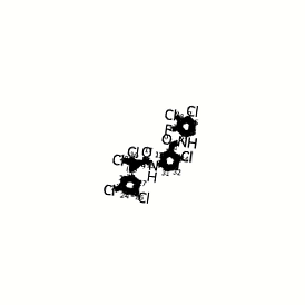 O=C(Nc1ccc(Cl)c(Cl)c1F)c1cc(NC(=O)[C@H]2[C@H](c3cc(Cl)cc(Cl)c3)C2(Cl)Cl)ccc1Cl